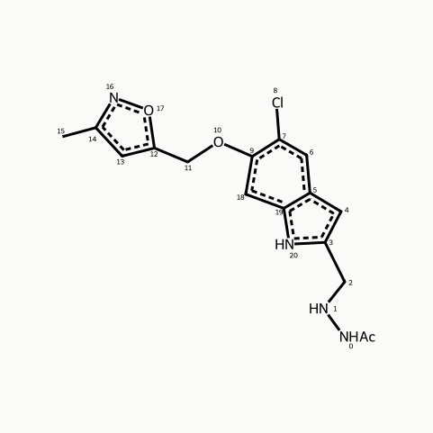 CC(=O)NNCc1cc2cc(Cl)c(OCc3cc(C)no3)cc2[nH]1